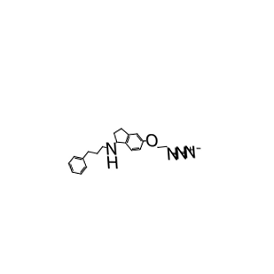 [N-]=[N+]=NCCOc1ccc2c(c1)CCC2NCCCc1ccccc1